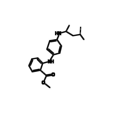 COC(=O)c1ccccc1Nc1ccc(NC(C)CC(C)C)cc1